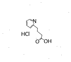 Cl.O=C(O)CCCc1ccccn1